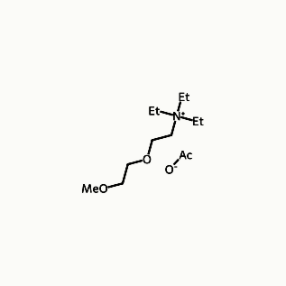 CC(=O)[O-].CC[N+](CC)(CC)CCOCCOC